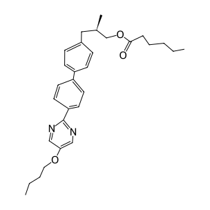 CCCCCC(=O)OC[C@H](C)Cc1ccc(-c2ccc(-c3ncc(OCCCC)cn3)cc2)cc1